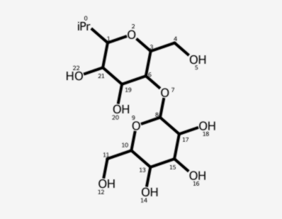 CC(C)C1OC(CO)C(OC2OC(CO)C(O)C(O)C2O)C(O)C1O